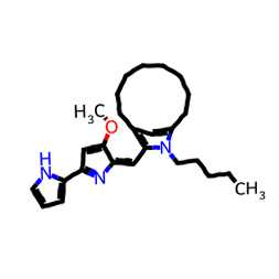 CCCCCn1c2cc(c1C=C1N=C(c3ccc[nH]3)C=C1OC)CCCCCCCC2